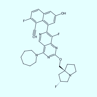 C#Cc1c(F)ccc2cc(O)cc(-c3ncc4c(N5CCCCCC5)nc(OC[C@@]56CCCN5C[C@H](F)C6)nc4c3F)c12